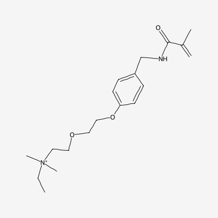 C=C(C)C(=O)NCc1ccc(OCCOCC[N+](C)(C)CC)cc1